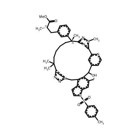 COC(=O)[C@@H](C)Cc1cccc([C@@]2(C)CCCCC(C)(C)c3cn(nn3)Cc3c(c(F)cc4c3ccn4S(=O)(=O)c3ccc(C)cc3)C(O)c3ccnc(c3)-c3nc2nn3C)c1